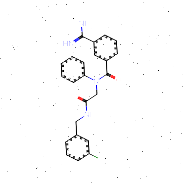 N=C(N)c1cccc(C(=O)N(CC(=O)NCc2cccc(F)c2)c2ccccc2)c1